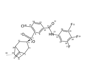 C=C1C2C[C@H](S(=O)(=O)c3cc(C(=O)Nc4cc(F)c(F)c(F)c4)ccc3Cl)CC1[C@@H](C)C2